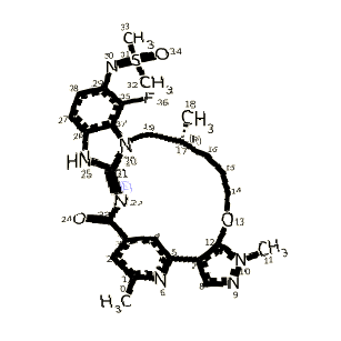 Cc1cc2cc(n1)-c1cnn(C)c1OCCC[C@@H](C)CN1/C(=N/C2=O)Nc2ccc(N=S(C)(C)=O)c(F)c21